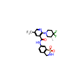 C[C@@H]1CN(c2ncc(C(F)(F)F)cc2C(=O)Nc2ccc3c(c2)S(=O)(=O)NC3)CCC1(F)F